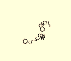 Cn1ccc2cc(-c3nnc(CSCCOc4ccccc4)o3)ccc21